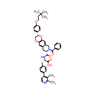 Cc1nccc(-c2ccc(C[C@H](NC(=O)[C@@H]3Cc4cc5c(cc4CN3C(=O)c3ccccc3)O[C@@H](c3ccc(OCCC(C)(C)C)cc3)CO5)C(=O)O)cc2)c1C